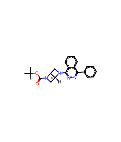 CC(C)(C)OC(=O)N1C[C@@H]2C1CN2c1nnc(-c2ccccc2)c2ccccc12